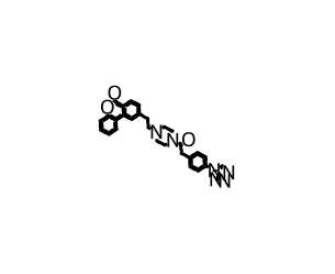 O=C(Cc1ccc(-n2cnnn2)cc1)N1CCN(CCc2ccc3c(=O)oc4ccccc4c3c2)CC1